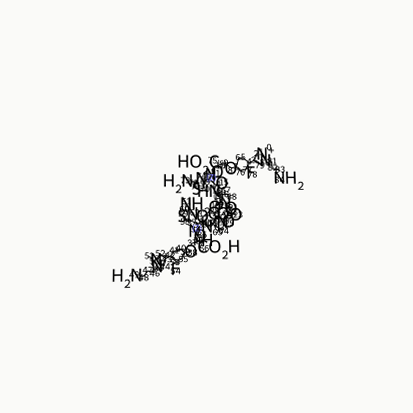 C[n+]1cc(-c2ccc(OC[C@H](O/N=C(\C(=O)N[C@@H]3C(=O)N(OS(=O)(=O)ON4C(=O)[C@@H](NC(=O)/C(=N\O[C@@H](COc5ccc(-c6cn(CCCN)[n+](C)c6)c(F)c5)C(=O)O)c5csc(N)n5)C4(C)C)C3(C)C)c3csc(N)n3)C(=O)O)cc2F)cn1CCCN